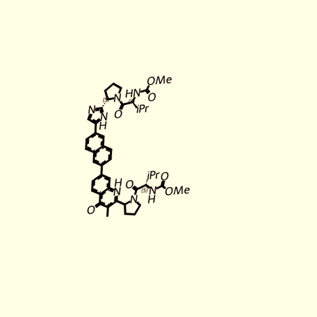 COC(=O)N[C@H](C(=O)N1CCCC1c1[nH]c2cc(-c3ccc4cc(-c5cnc([C@@H]6CCCN6C(=O)[C@@H](NC(=O)OC)C(C)C)[nH]5)ccc4c3)ccc2c(=O)c1C)C(C)C